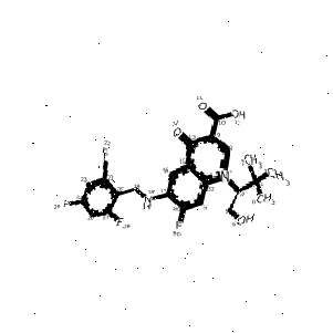 CC(C)(C)[C@@H](CO)n1cc(C(=O)O)c(=O)c2cc(NCc3c(F)cc(F)cc3F)c(F)cc21